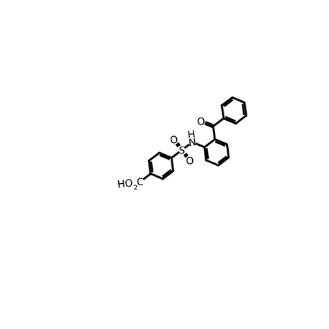 O=C(O)c1ccc(S(=O)(=O)Nc2ccccc2C(=O)c2ccccc2)cc1